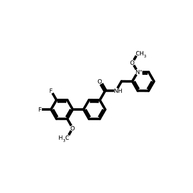 COc1cc(F)c(F)cc1-c1cccc(C(=O)NCc2cccc[n+]2OC)c1